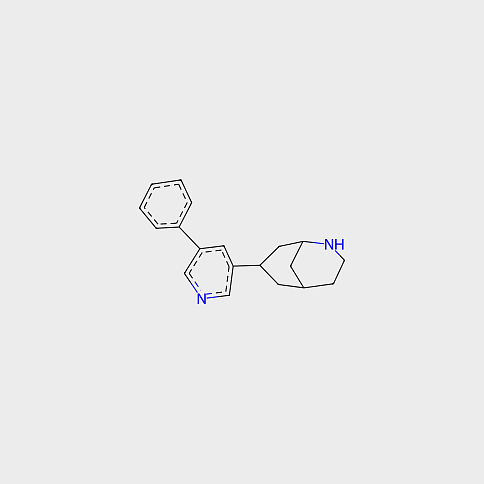 c1ccc(-c2cncc(C3CC4CCNC(C4)C3)c2)cc1